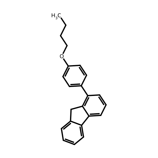 CCCCOc1ccc(-c2cccc3c2Cc2ccccc2-3)cc1